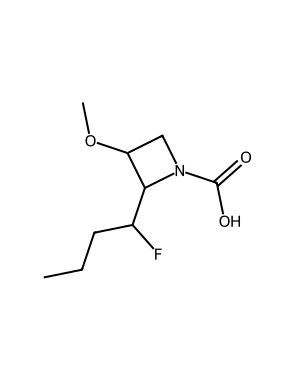 CCCC(F)C1C(OC)CN1C(=O)O